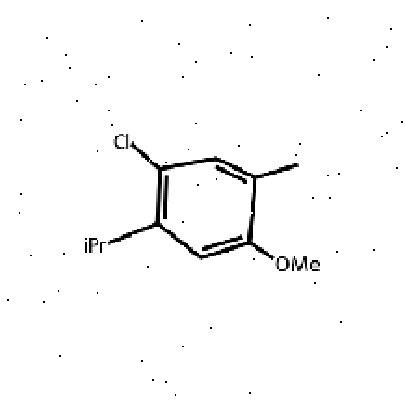 COc1cc(C(C)C)c(Cl)cc1C